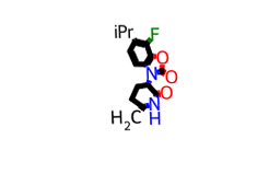 C=C1CCC(n2c(=O)oc3c(F)c(C(C)C)ccc32)C(=O)N1